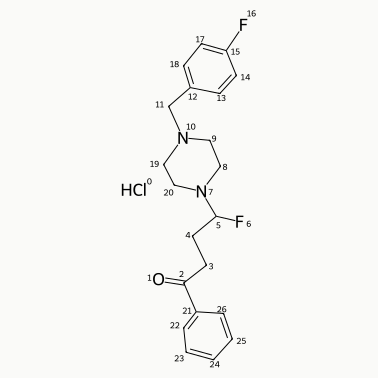 Cl.O=C(CCC(F)N1CCN(Cc2ccc(F)cc2)CC1)c1ccccc1